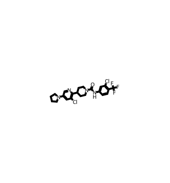 O=C(Nc1ccc(C(F)(F)F)c(Cl)c1)N1CCC(c2ncc(N3CCCC3)cc2Cl)CC1